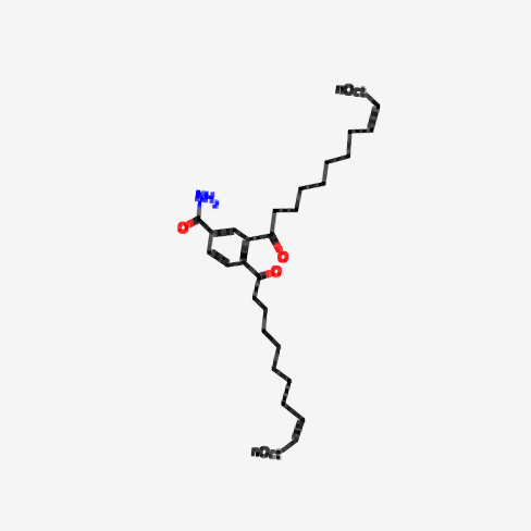 CCCCCCCC/C=C\CCCCCCCC(=O)c1ccc(C(N)=O)cc1C(=O)CCCCCCC/C=C\CCCCCCCC